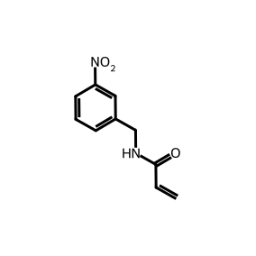 C=CC(=O)NCc1cccc([N+](=O)[O-])c1